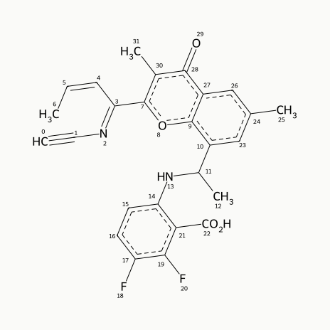 C#C/N=C(\C=C/C)c1oc2c(C(C)Nc3ccc(F)c(F)c3C(=O)O)cc(C)cc2c(=O)c1C